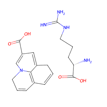 N=C(N)NCCC[C@H](N)C(=O)O.O=C(O)C1=CN2CC=CC3=C2C(=C1)CC=C3